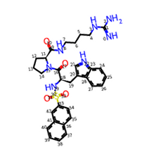 N=C(N)NCCCCNC(=O)[C@@H]1CCCN1C(=O)[C@@H](Cc1c[nH]c2ccccc12)NS(=O)(=O)c1ccc2ccccc2c1